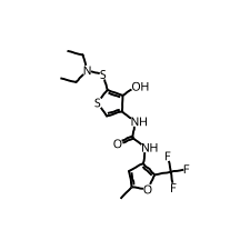 CCN(CC)Sc1scc(NC(=O)Nc2cc(C)oc2C(F)(F)F)c1O